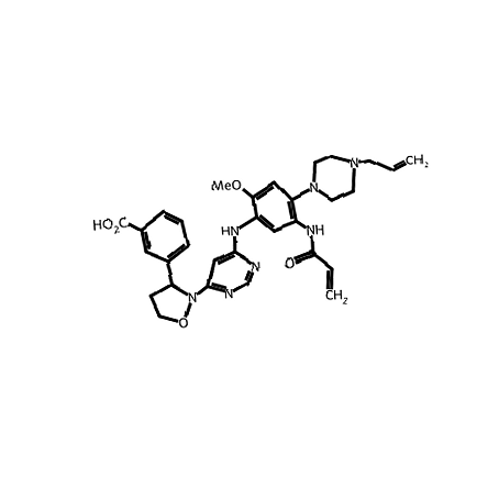 C=CCN1CCN(c2cc(OC)c(Nc3cc(N4OCCC4c4cccc(C(=O)O)c4)ncn3)cc2NC(=O)C=C)CC1